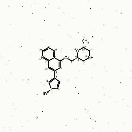 CC(C)n1ccc(-c2cc(OC[C@@H]3CNC[C@@H](C)O3)c3cccnc3c2)c1